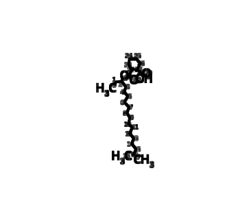 CCC(CCCCCCCCCCCCCC(C)C)OC(=O)C1CC=CCC1C(=O)O